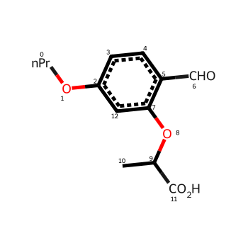 CCCOc1ccc(C=O)c(OC(C)C(=O)O)c1